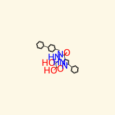 O=C(O)C(O)CNN(Cc1ccc(-c2ccccc2)cc1)C(=O)c1cc(-c2ccccc2)n[nH]1